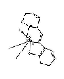 CC1(C)O[C@H]2C3=C(C=CCO3)C=C3C4=C(CCC=C4)O[C@@]32O1